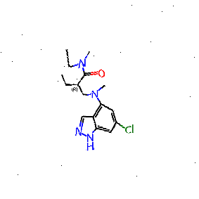 CC[C@H](CN(C)c1cc(Cl)cc2[nH]ncc12)C(=O)N(C)CC